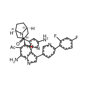 CC(=O)c1c([C@H]2C[C@H]3CC[C@@H](C2)N3C(=O)c2cc(N)n[nH]2)nc2c(-c3ccc(-c4ccc(F)cc4F)nc3)cnn2c1N